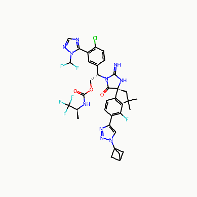 C[C@H](NC(=O)OC[C@H](c1ccc(Cl)c(-c2ncnn2C(F)F)c1)N1C(=N)N[C@](CC(C)(C)C)(c2ccc(-c3cn(C45CC(C4)C5)nn3)c(F)c2)C1=O)C(F)(F)F